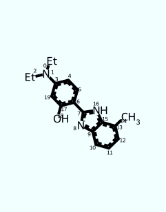 CCN(CC)c1ccc(-c2nc3cccc(C)c3[nH]2)c(O)c1